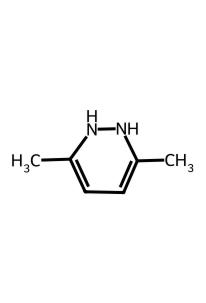 CC1=CC=C(C)NN1